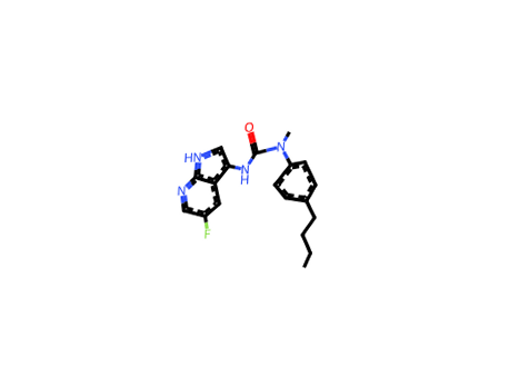 CCCCc1ccc(N(C)C(=O)Nc2c[nH]c3ncc(F)cc23)cc1